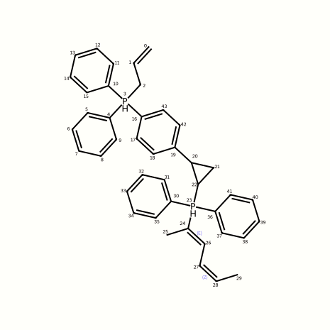 C=CC[PH](c1ccccc1)(c1ccccc1)c1ccc(C2CC2[PH](/C(C)=C/C=C\C)(c2ccccc2)c2ccccc2)cc1